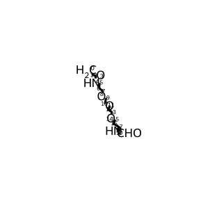 C=CC(=O)NCCCOCCOCCOCCCNC=O